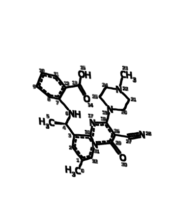 Cc1cc([C@@H](C)Nc2ccccc2C(=O)O)c2nc(N3CCN(C)CC3)c(C#N)c(=O)n2c1